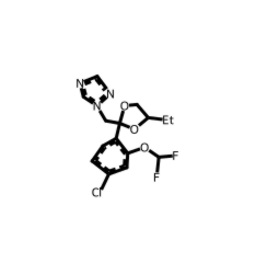 CCC1COC(Cn2cncn2)(c2ccc(Cl)cc2OC(F)F)O1